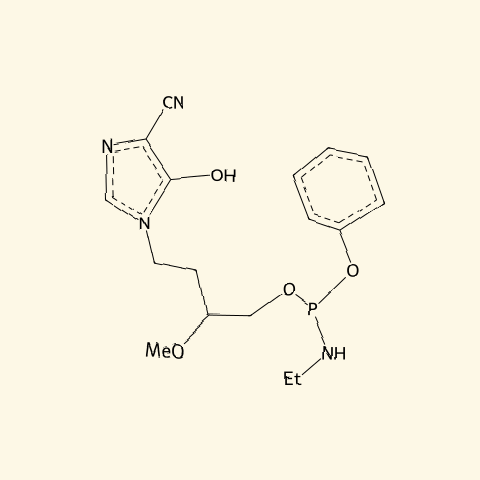 CCNP(OCC(CCn1cnc(C#N)c1O)OC)Oc1ccccc1